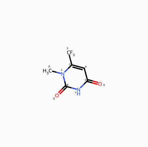 Cn1c(C(F)(F)F)cc(=O)[nH]c1=O